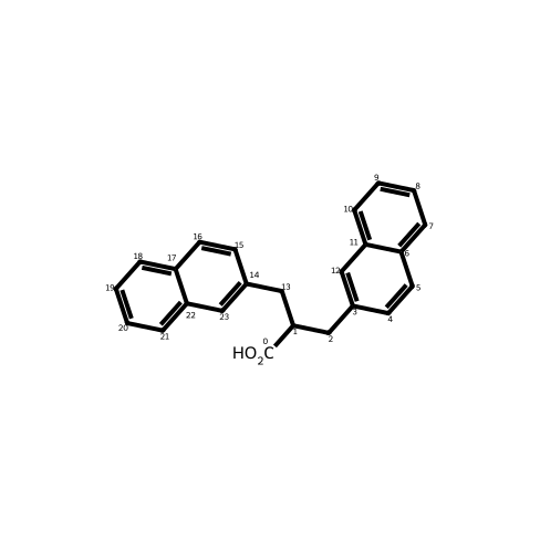 O=C(O)C(Cc1ccc2ccccc2c1)Cc1ccc2ccccc2c1